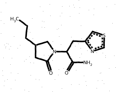 CCCC1CC(=O)N(C(Cc2cscn2)C(N)=O)C1